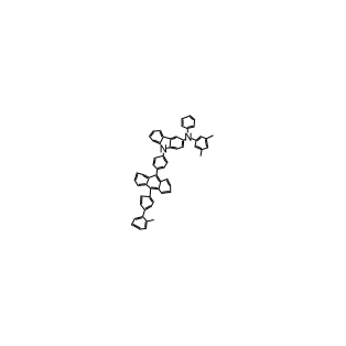 Cc1cc(C)cc(N(c2ccccc2)c2ccc3c(c2)c2ccccc2n3-c2ccc(-c3c4ccccc4c(-c4ccc(-c5ccccc5C)cc4)c4ccccc34)cc2)c1